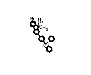 CC1(C)c2cc(Br)ccc2-c2ccc(-c3ccc(-c4nc5ccccc5n4-c4ccccc4)cc3)cc21